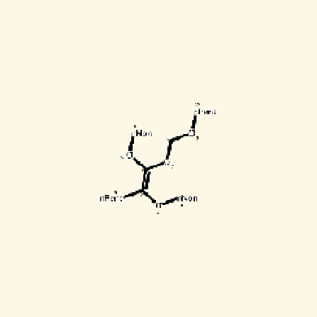 CCCCCCCCCOC(CCCCC)=C(OCCCCCCCCC)OCOCCCCC